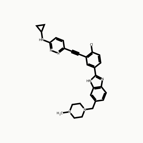 CN1CCN(Cc2ccc3nc(-c4ccc(Cl)c(C#Cc5ccc(NC6CC6)nn5)c4)[nH]c3c2)CC1